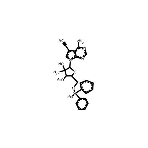 C#Cc1cn(C2OC(CO[Si](c3ccccc3)(c3ccccc3)C(C)(C)C)C(OC(C)=O)C2(C)O)c2ncnc(N)c12